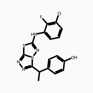 CC(c1ccc(O)cc1)c1nnc2sc(Nc3cccc(Cl)c3F)nn12